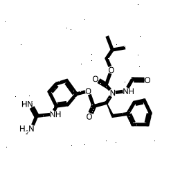 CC(C)COC(=O)N(NC=O)[C@@H](Cc1ccccc1)C(=O)Oc1cccc(NC(=N)N)c1